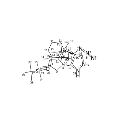 C=C1CC[C@H]2[C@@]3(CN=[N+]=[N-])C[C@]3([C@@]3(C)Cc4cn[nH]c4C[C@@H]3CO[Si](C)(C)C(C)(C)C)CC[C@]12C